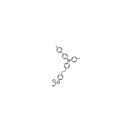 C=CC(=O)Oc1ccc(CCc2ccc(N(c3ccc(C)cc3)c3ccc(-c4ccc(C)cc4)cc3)cc2)cc1